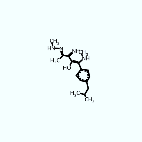 CN/N=C(\C)C(=N)/C(O)=C(\NC)c1ccc(CC(C)C)cc1